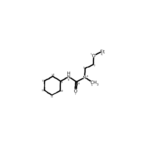 CCOCCN(C)C(=O)NC1CCCCC1